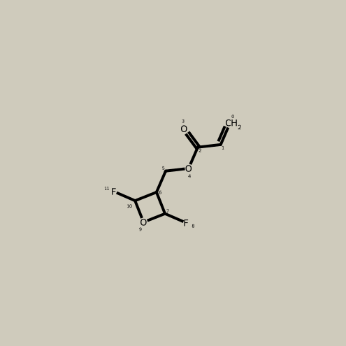 C=CC(=O)OCC1C(F)OC1F